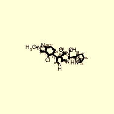 Cn1cc2c(Cl)c(-c3c[nH]c4nc(N5CC6CCC5CN6)n(C)c(=O)c34)ccc2n1